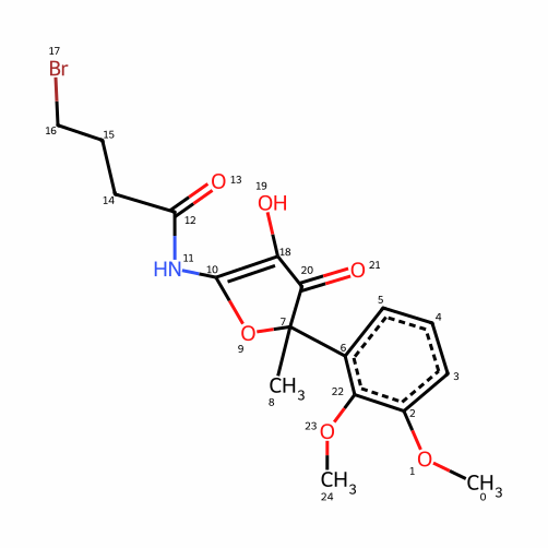 COc1cccc(C2(C)OC(NC(=O)CCCBr)=C(O)C2=O)c1OC